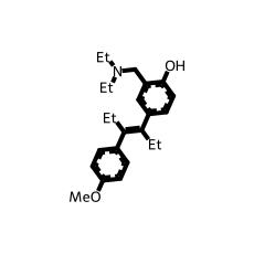 CC/C(=C(/CC)c1ccc(O)c(CN(CC)CC)c1)c1ccc(OC)cc1